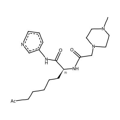 CC(=O)CCCCC[C@H](NC(=O)CN1CCN(C)CC1)C(=O)Nc1cccnc1